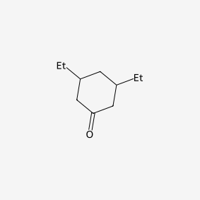 CCC1CC(=O)CC(CC)C1